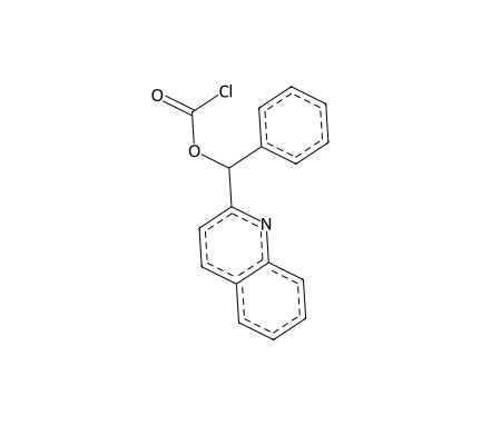 O=C(Cl)OC(c1ccccc1)c1ccc2ccccc2n1